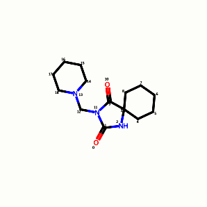 O=C1NC2(CCCCC2)C(=O)N1CN1CCCCC1